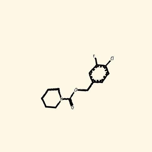 O=C(OCc1ccc(Cl)c(F)c1)N1CCCCC1